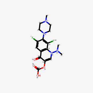 CN1CCN(c2c(F)cc3c(=O)c(OC(=O)O)cn(N(C)C)c3c2F)CC1